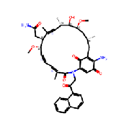 CO[C@H]1/C=C\C=C(/C)C(=O)N(CC(=O)c2cccc3ccccc23)C2=CC(=O)C(N)=C(C[C@@H](C)C[C@H](OC)[C@H](O)[C@@H](C)/C=C(\C)[C@@H]1CC(N)=O)C2=O